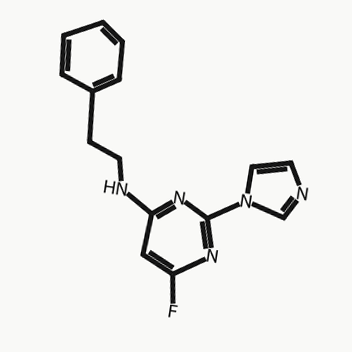 Fc1cc(NCCc2ccccc2)nc(-n2ccnc2)n1